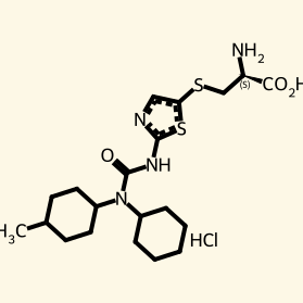 CC1CCC(N(C(=O)Nc2ncc(SC[C@@H](N)C(=O)O)s2)C2CCCCC2)CC1.Cl